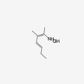 CCC=CC(C)=C(C)N.Cl